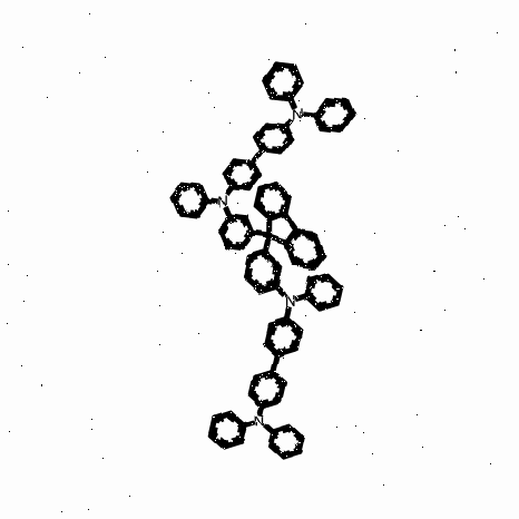 c1ccc(N(c2ccccc2)c2ccc(-c3ccc(N(c4ccccc4)c4cccc(C5(c6cccc(N(c7ccccc7)c7ccc(-c8ccc(N(c9ccccc9)c9ccccc9)cc8)cc7)c6)c6ccccc6-c6ccccc65)c4)cc3)cc2)cc1